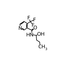 CCCC(O)NC(=O)c1cnccc1C(F)(F)F